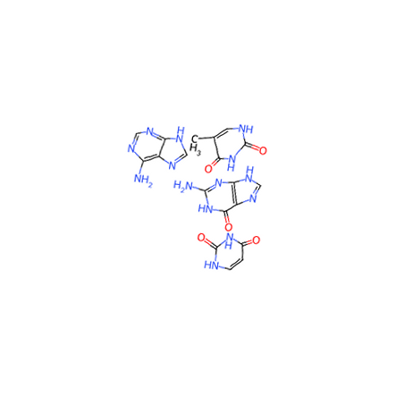 Cc1c[nH]c(=O)[nH]c1=O.Nc1nc2[nH]cnc2c(=O)[nH]1.Nc1ncnc2[nH]cnc12.O=c1cc[nH]c(=O)[nH]1